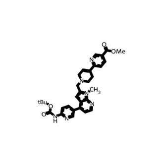 COC(=O)c1ccc(C2=CCN(Cc3cc4c(-c5ccc(NC(=O)OC(C)(C)C)nc5)ccnc4n3C)CC2)nc1